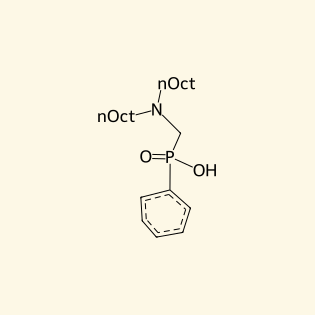 CCCCCCCCN(CCCCCCCC)CP(=O)(O)c1ccccc1